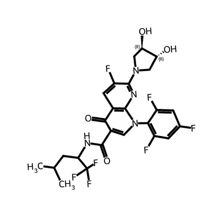 CC(C)CC(NC(=O)c1cn(-c2c(F)cc(F)cc2F)c2nc(N3C[C@@H](O)[C@H](O)C3)c(F)cc2c1=O)C(F)(F)F